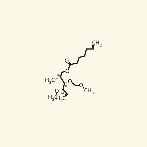 C=CCCCCC(=O)OC[C@@H](C)[C@H](OCOC)[C@H](C=C)OC